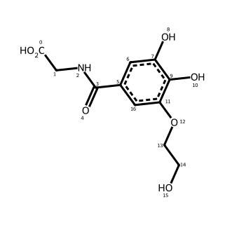 O=C(O)CNC(=O)c1cc(O)c(O)c(OCCO)c1